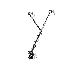 CCCCCCCCCCCCCCCCCCN(CCCCCCCCCCCCCCCCCC)CCOCCOCCOCCOCCOCCOCCOC(=O)C(N)Cc1cnc[nH]1